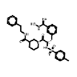 Cc1ccc(S(=O)(=O)N[C@@H](Cc2cccc(C(=N)NO)c2)C(=O)N2CCCC(C(=O)NCCc3ccccc3)C2)cc1